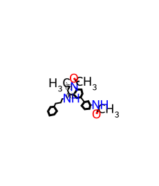 CC(=O)Nc1cccc(-c2ccc3c(c2)[C@H](NCCCc2ccccc2)C[C@H](C)N3C(C)=O)c1